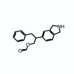 O=COCC(Cc1ccccc1)c1ccc2c(c1)CNC2